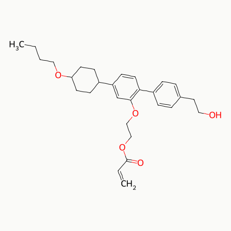 C=CC(=O)OCCOc1cc(C2CCC(OCCCC)CC2)ccc1-c1ccc(CCO)cc1